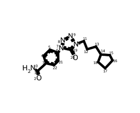 NC(=O)c1ccc(-n2nnn(CCCC3CCCC3)c2=O)cc1